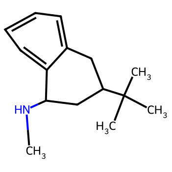 CNC1CC(C(C)(C)C)Cc2ccccc21